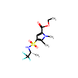 CCOC(=O)c1cc(S(=O)(=O)N[C@H](C)C(F)(F)F)c(C)n1C